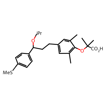 CSc1ccc(C(CCc2cc(C)c(OC(C)(C)C(=O)O)c(C)c2)OC(C)C)cc1